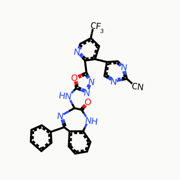 N#Cc1ncc(-c2cc(C(F)(F)F)cnc2-c2nnc(NC3N=C(c4ccccc4)c4ccccc4NC3=O)o2)cn1